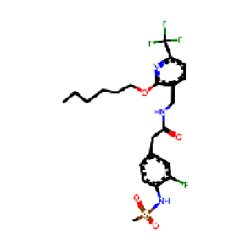 CCCCCCOc1nc(C(F)(F)F)ccc1CNC(=O)Cc1ccc(NS(C)(=O)=O)c(F)c1